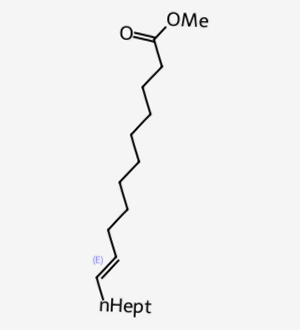 CCCCCCC/C=C/CCCCCCCCC(=O)OC